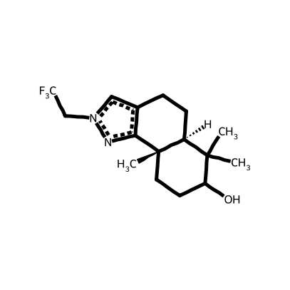 CC1(C)C(O)CC[C@]2(C)c3nn(CC(F)(F)F)cc3CC[C@@H]12